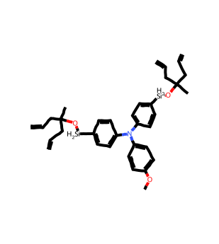 C=CCC(C)(CC=C)O[SiH2]c1ccc(N(c2ccc(OC)cc2)c2ccc([SiH2]OC(C)(CC=C)CC=C)cc2)cc1